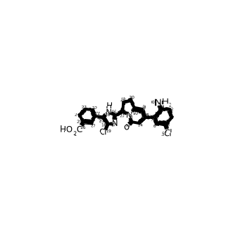 Nc1ccc(Cl)cc1-c1cc2n(c(=O)c1)C(c1nc(Cl)c(-c3cccc(C(=O)O)c3)[nH]1)CC2